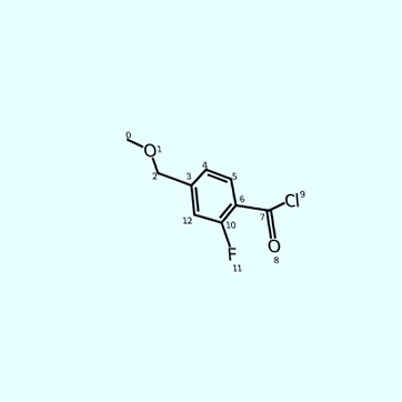 COCc1ccc(C(=O)Cl)c(F)c1